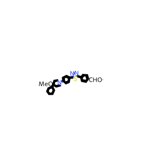 COC1(C2CCCCC2)CCN(c2ccc(-c3nnc(-c4ccc([C]=O)cc4)s3)cc2)CC1